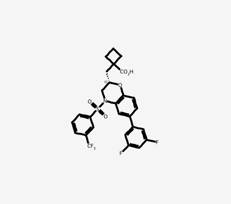 O=C(O)C1(C[C@H]2CN(S(=O)(=O)c3cccc(C(F)(F)F)c3)c3cc(-c4cc(F)cc(F)c4)ccc3O2)CCC1